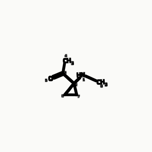 CNC1(C(C)=O)CC1